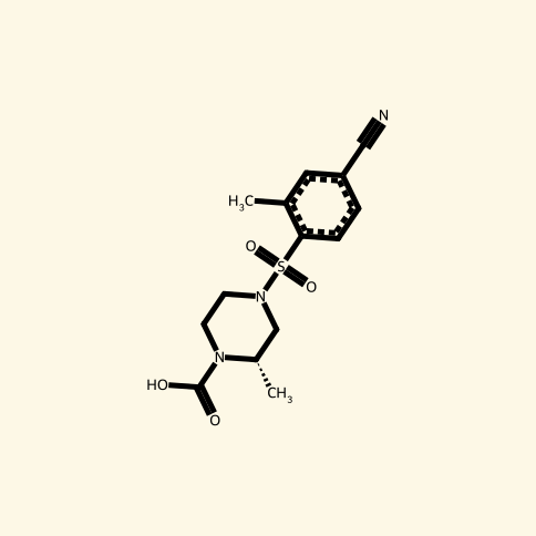 Cc1cc(C#N)ccc1S(=O)(=O)N1CCN(C(=O)O)[C@@H](C)C1